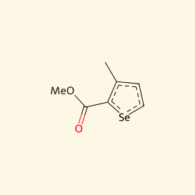 COC(=O)c1[se]ccc1C